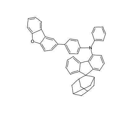 c1ccc(N(c2ccc(-c3ccc4oc5ccccc5c4c3)cc2)c2cccc3c2-c2ccccc2C32C3CC4CC(C3)CC2C4)cc1